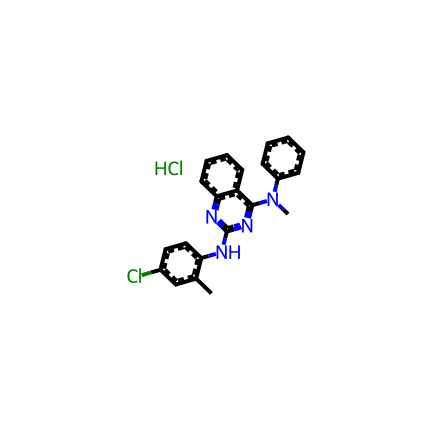 Cc1cc(Cl)ccc1Nc1nc(N(C)c2ccccc2)c2ccccc2n1.Cl